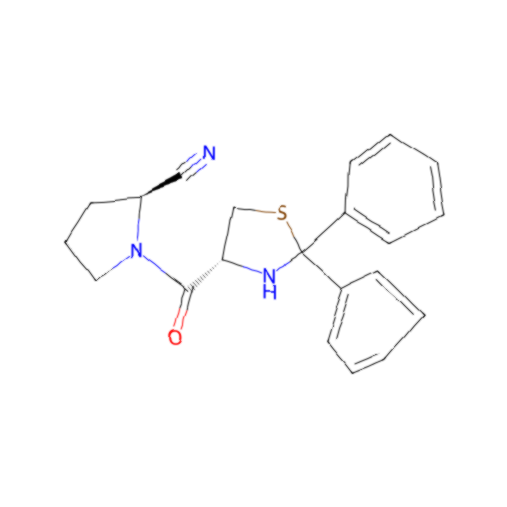 N#C[C@@H]1CCCN1C(=O)[C@@H]1CSC(c2ccccc2)(c2ccccc2)N1